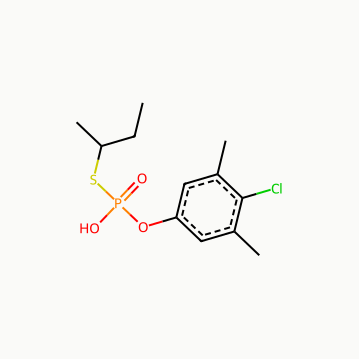 CCC(C)SP(=O)(O)Oc1cc(C)c(Cl)c(C)c1